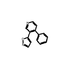 [c]1nccc(-c2ccccc2)c1-c1ccno1